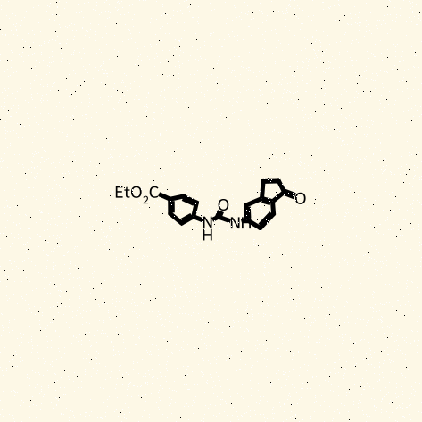 CCOC(=O)c1ccc(NC(=O)Nc2ccc3c(c2)CCC3=O)cc1